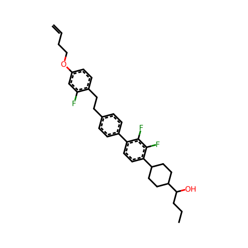 C=CCCOc1ccc(CCc2ccc(-c3ccc(C4CCC(C(O)CCC)CC4)c(F)c3F)cc2)c(F)c1